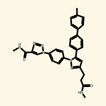 CNC(=O)CCc1cc(-c2ccc(-c3ccc(C)cc3)cc2)n(-c2ccc(-n3cc(C(=O)NC)nn3)cc2)n1